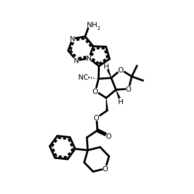 CC1(C)O[C@H]2[C@@H](O1)[C@](C#N)(c1ccc3c(N)ncnn13)O[C@@H]2COC(=O)CC1(c2ccccc2)CCOCC1